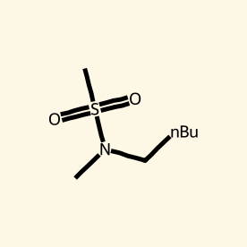 [CH2]CCCCN(C)S(C)(=O)=O